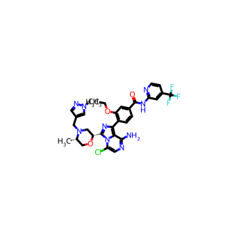 CCOc1cc(C(=O)Nc2cc(C(F)(F)F)ccn2)ccc1-c1nc([C@H]2CN(Cc3cnn(C)c3)[C@@H](C)CO2)n2c(Cl)cnc(N)c12